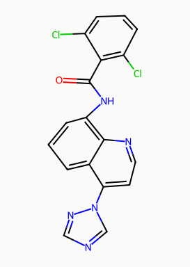 O=C(Nc1cccc2c(-n3cncn3)ccnc12)c1c(Cl)cccc1Cl